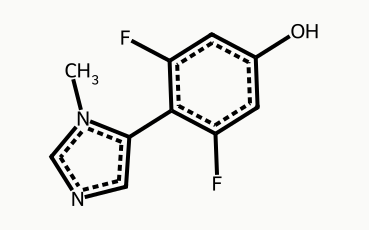 Cn1cncc1-c1c(F)cc(O)cc1F